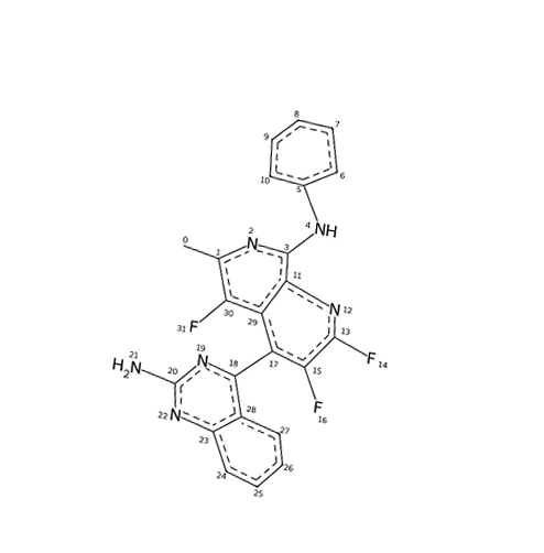 Cc1nc(Nc2ccccc2)c2nc(F)c(F)c(-c3nc(N)nc4ccccc34)c2c1F